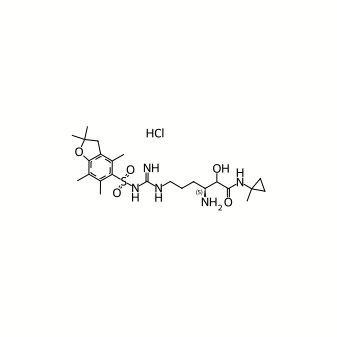 Cc1c(C)c(S(=O)(=O)NC(=N)NCCC[C@H](N)C(O)C(=O)NC2(C)CC2)c(C)c2c1OC(C)(C)C2.Cl